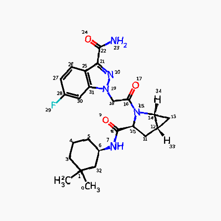 CC1(C)CCC[C@@H](NC(=O)[C@@H]2C[C@H]3C[C@H]3N2C(=O)Cn2nc(C(N)=O)c3ccc(F)cc32)C1